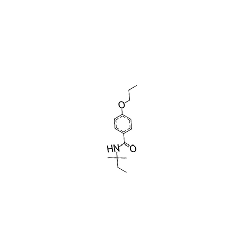 CCCOc1ccc(C(=O)NC(C)(C)CC)cc1